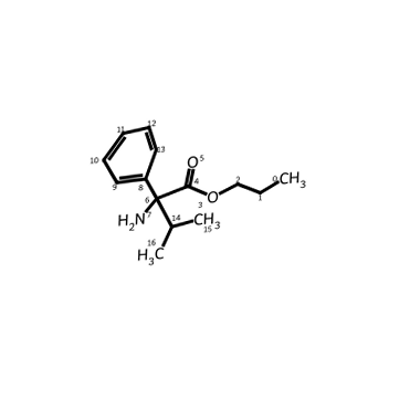 CCCOC(=O)C(N)(c1ccccc1)C(C)C